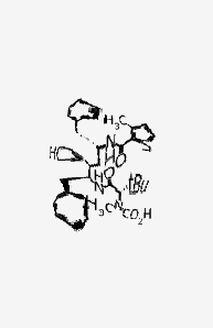 Cc1ccsc1C(=O)N[C@@H](Cc1ccccc1)C[C@H](O)[C@H](Cc1ccccc1)NC(=O)[C@@H](N(C)C(=O)O)C(C)(C)C